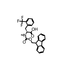 CN(C(=O)OCC1c2ccccc2-c2ccccc21)[C@@H](Cc1ccccc1C(F)(F)F)C(=O)O